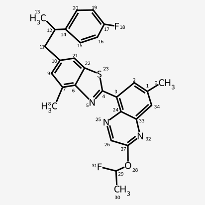 Cc1cc(-c2nc3c(C)cc(CC(C)c4ccc(F)cc4)cc3s2)c2ncc(OC(C)F)nc2c1